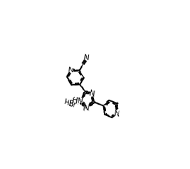 Br.N#Cc1cc(-c2nc(-c3ccncc3)n[nH]2)ccn1